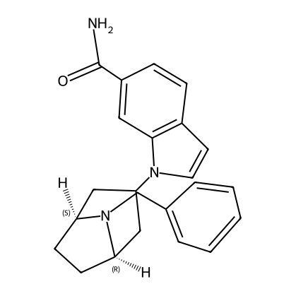 NC(=O)c1ccc2ccn(C3C[C@H]4CC[C@@H](C3)N4Cc3ccccc3)c2c1